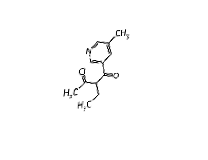 CCC(C(C)=O)C(=O)c1cncc(C)c1